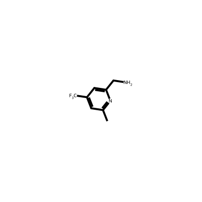 Cc1cc(C(F)(F)F)cc(CN)n1